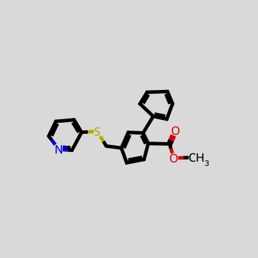 COC(=O)c1ccc(CSc2cccnc2)cc1-c1ccccc1